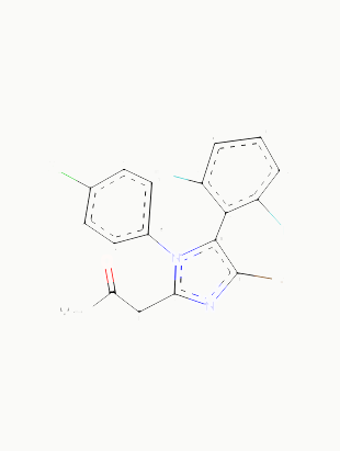 COC(=O)Cc1nc(Br)c(-c2c(F)cccc2F)n1-c1ccc(Cl)cc1